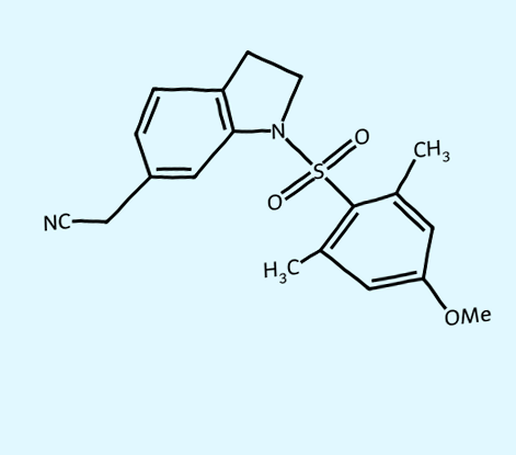 COc1cc(C)c(S(=O)(=O)N2CCc3ccc(CC#N)cc32)c(C)c1